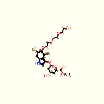 COC(=O)[C@@H]1C[C@H](O)C[C@H](Oc2c[nH]c3cc(Br)c(OCCOCCOCCO)c(Br)c23)O1